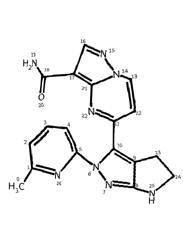 Cc1cccc(-n2nc3c(c2-c2ccn4ncc(C(N)=O)c4n2)CCN3)n1